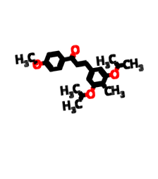 COc1ccc(C(=O)C=Cc2cc(OC(C)C)c(C)c(OC(C)C)c2)cc1